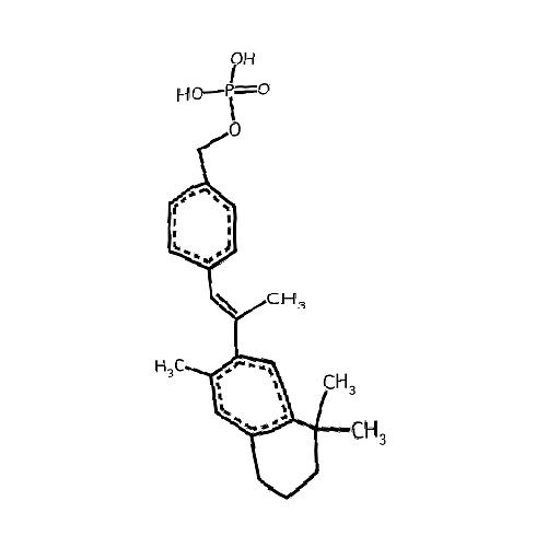 CC(=Cc1ccc(COP(=O)(O)O)cc1)c1cc2c(cc1C)CCCC2(C)C